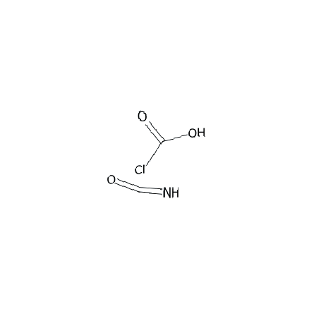 N=C=O.O=C(O)Cl